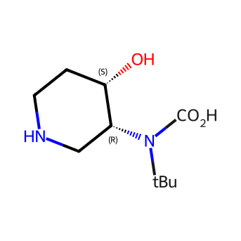 CC(C)(C)N(C(=O)O)[C@@H]1CNCC[C@@H]1O